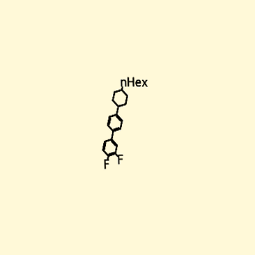 CCCCCCC1CCC(c2ccc(-c3ccc(F)c(F)c3)cc2)CC1